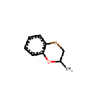 FC(F)(F)C1CSc2ccccc2O1